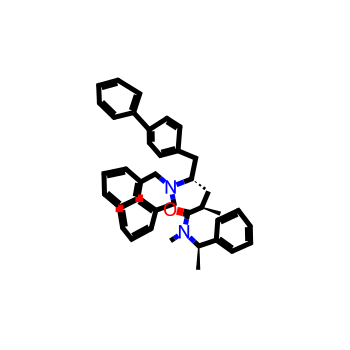 C[C@H](C[C@@H](Cc1ccc(-c2ccccc2)cc1)N(Cc1ccccc1)Cc1ccccc1)C(=O)N(C)[C@H](C)c1ccccc1